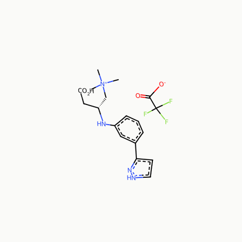 C[N+](C)(C)C[C@@H](CC(=O)O)Nc1cccc(-c2cc[nH]n2)c1.O=C([O-])C(F)(F)F